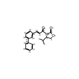 CC(C)C1COC(=O)N1C(=O)/C=C/c1cccc(-c2ccccc2)c1